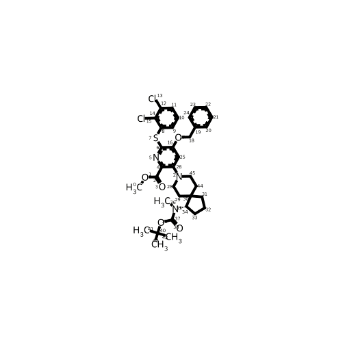 COC(=O)c1nc(Sc2cccc(Cl)c2Cl)c(OCc2ccccc2)cc1N1CCC2(CCC[C@@H]2N(C)C(=O)OC(C)(C)C)CC1